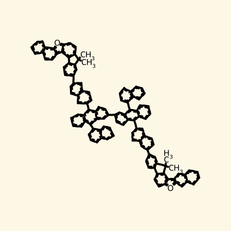 CC1(C)c2cc(-c3ccc4cc(-c5c6ccccc6c(-c6cccc7ccccc67)c6cc(-c7ccc8c(-c9ccc%10cc(-c%11ccc%12c(c%11)C(C)(C)c%11c-%12ccc%12oc%13cc%14ccccc%14cc%13c%11%12)ccc%10c9)c9ccccc9c(-c9cccc%10ccccc9%10)c8c7)ccc56)ccc4c3)ccc2-c2c1ccc1oc3c4ccccc4ccc3c21